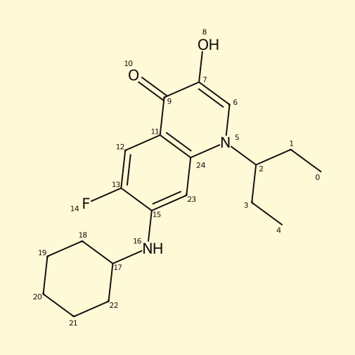 CCC(CC)n1cc(O)c(=O)c2cc(F)c(NC3CCCCC3)cc21